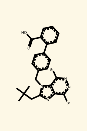 CC(C)(C)Cc1nc2c(Br)nnc(Br)c2n1Cc1ccc(-c2ccccc2C(=O)O)cc1